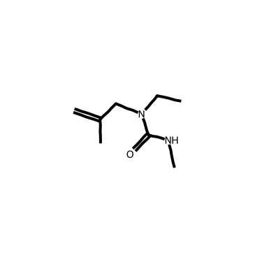 C=C(C)CN(CC)C(=O)NC